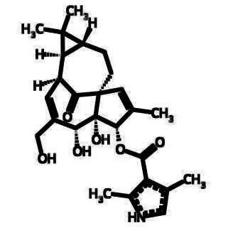 CC1=C[C@@]23CC[C@@H]4[C@@H]([C@H](C=C(CO)[C@@H](O)[C@]2(O)[C@H]1OC(=O)c1c(C)c[nH]c1C)C3=O)C4(C)C